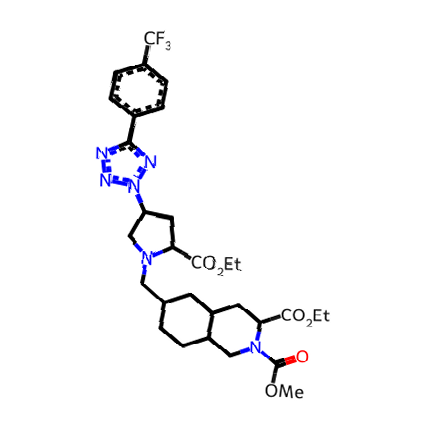 CCOC(=O)C1CC(n2nnc(-c3ccc(C(F)(F)F)cc3)n2)CN1CC1CCC2CN(C(=O)OC)C(C(=O)OCC)CC2C1